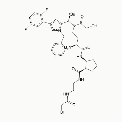 CC(C)(C)[C@H](c1cc(-c2cc(F)ccc2F)cn1Cc1ccccc1)N(CC[C@H](N)C(=O)N[C@H]1CCC[C@H]1C(=O)NCCNC(=O)CBr)C(=O)CO